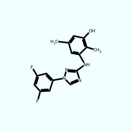 Cc1cc(O)c(C)c(Nc2ncn(-c3cc(F)cc(F)c3)n2)c1